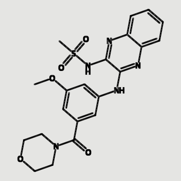 COc1cc(Nc2nc3ccccc3nc2NS(C)(=O)=O)cc(C(=O)N2CCOCC2)c1